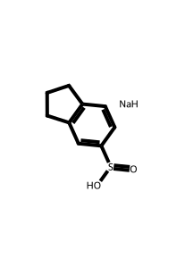 O=S(O)c1ccc2c(c1)CCC2.[NaH]